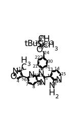 Cc1nocc1-c1ccc2nc(-c3cccnc3N)n(-c3ccc(CO[Si](C)(C)C(C)(C)C)cc3)c2n1